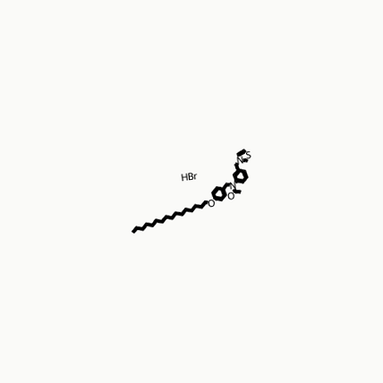 Br.CCCCCCCCCCCCCCCCOc1ccc(CN(C(C)=O)c2cccc(CN3C=CSC3)c2)cc1